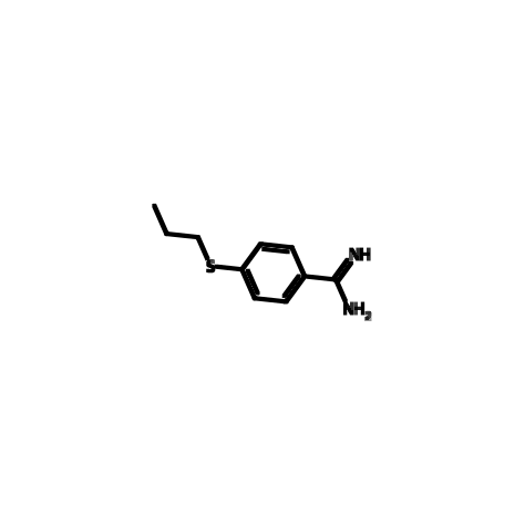 CCCSc1ccc(C(=N)N)cc1